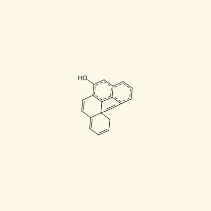 Oc1cc2cccc3c2c2c1C=CC1=CC=CCC12C=C3